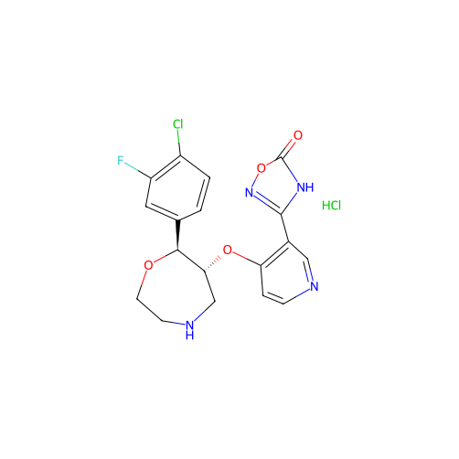 Cl.O=c1[nH]c(-c2cnccc2O[C@@H]2CNCCO[C@H]2c2ccc(Cl)c(F)c2)no1